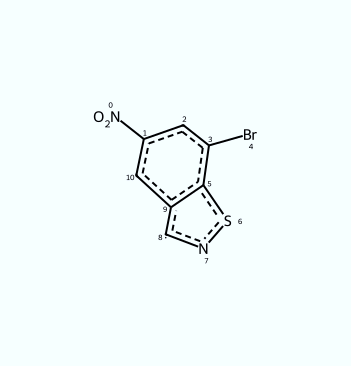 O=[N+]([O-])c1cc(Br)c2sn[c]c2c1